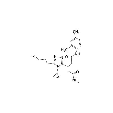 Cc1ccc(NC(=O)CC(CC(N)=O)c2nnc(CCCC(C)C)n2C2CC2)c(C)c1